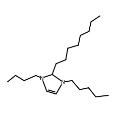 CCCCCCCCC1N(CCCC)C=CN1CCCCC